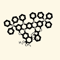 CC1(C)CCC(C)(C)c2cc3c(cc21)Oc1cc([Si](c2ccccc2)(c2ccccc2)c2ccccc2)cc2c1B3c1cc3c(cc1N2c1ccccc1)N(c1ccccc1)c1cc([Si](c2ccccc2)(c2ccccc2)c2ccccc2)cc2c1B3c1oc3ccccc3c1O2